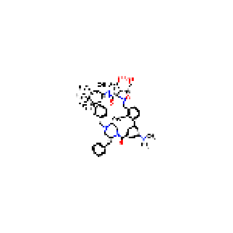 COc1c(CN2O[C@@H](CO)[C@@H]([C@H](C)O)[C@H]2C(=O)N[C@H]2C[C@@H](C)C(C)(C)[C@@H](C)[C@@H]2C)cccc1-c1cc(C(=O)N2CCN(Cc3ccccc3)C[C@@H]2Cc2ccccc2)cc(N(C)C)c1